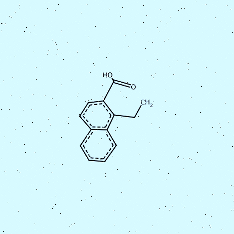 [CH2]Cc1c(C(=O)O)ccc2ccccc12